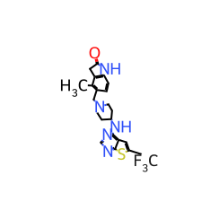 Cc1c(CN2CCC(Nc3ncnc4sc(CC(F)(F)F)cc34)CC2)ccc2c1CC(=O)N2